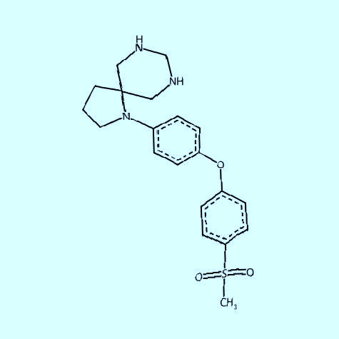 CS(=O)(=O)c1ccc(Oc2ccc(N3CCCC34CNCNC4)cc2)cc1